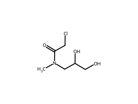 CN(CC(O)CO)C(=O)CCl